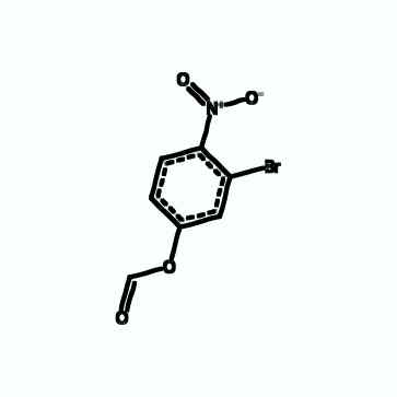 O=COc1ccc([N+](=O)[O-])c(Br)c1